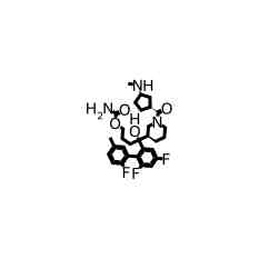 CN[C@H]1CC[C@@H](C(=O)N2CCC[C@@H]([C@@](O)(CCCOC(N)=O)c3cc(F)cc(F)c3-c3cc(C)ccc3F)C2)C1